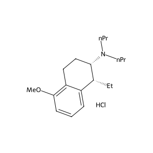 CCCN(CCC)[C@H]1CCc2c(OC)cccc2[C@H]1CC.Cl